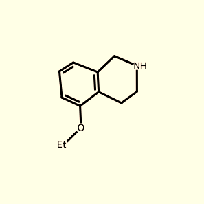 CCOc1cccc2c1CCNC2